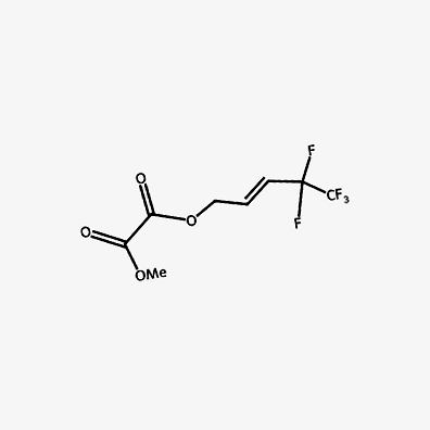 COC(=O)C(=O)OCC=CC(F)(F)C(F)(F)F